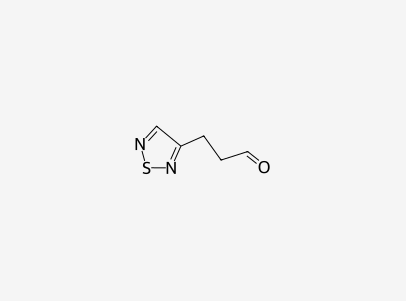 O=CCCc1cnsn1